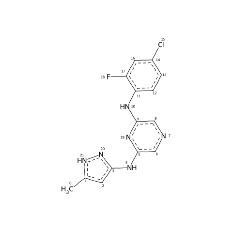 Cc1cc(Nc2cncc(Nc3ccc(Cl)cc3F)n2)n[nH]1